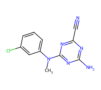 CN(c1cccc(Cl)c1)c1nc(N)nc(C#N)n1